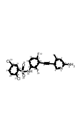 Cc1cc(N)ncc1C#Cc1c(F)ccc(NS(=O)(=O)c2cc(Cl)ccc2Cl)c1F